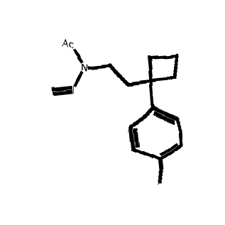 C=IN(CCC1(c2ccc(C)cc2)CCC1)C(C)=O